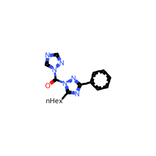 CCCCCCc1nc(-c2ccccc2)nn1C(=O)n1cncn1